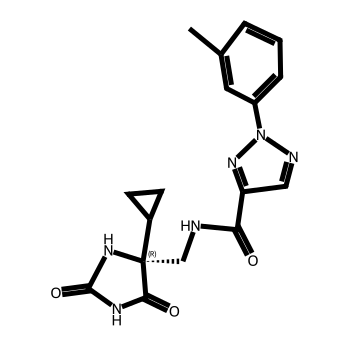 Cc1cccc(-n2ncc(C(=O)NC[C@@]3(C4CC4)NC(=O)NC3=O)n2)c1